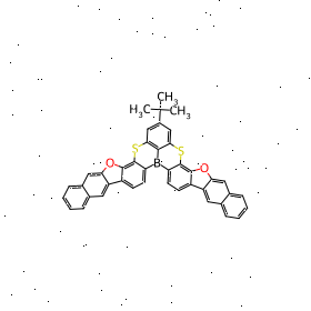 CC(C)(C)c1cc2c3c(c1)Sc1c(ccc4c1oc1cc5ccccc5cc14)B3c1ccc3c(oc4cc5ccccc5cc43)c1S2